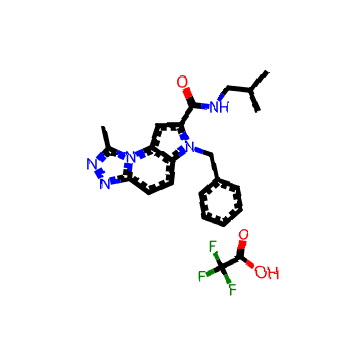 Cc1nnc2ccc3c(cc(C(=O)NCC(C)C)n3Cc3ccccc3)n12.O=C(O)C(F)(F)F